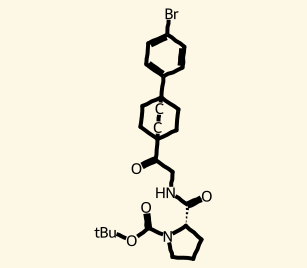 CC(C)(C)OC(=O)N1CCC[C@H]1C(=O)NCC(=O)C12CCC(c3ccc(Br)cc3)(CC1)CC2